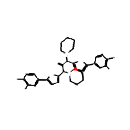 S=C(C(c1ccc(-c2ccc(Cl)c(Cl)c2)o1)N1CCCCC1)C(c1ccc(-c2ccc(Cl)c(Cl)c2)o1)N1CCCCC1